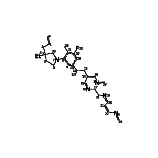 C=CCC1(CC)CCN(c2cc(C(C)CC(/C=N\CC/N=C\C=C/N=C)=C/N=C)cc(F)c2C)C1